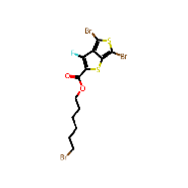 O=C(OCCCCCCBr)c1sc2c(Br)sc(Br)c2c1F